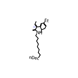 C=C(NCCCCCCCCCCCCCCCCCC)/C(=C/C)C1=CC(CC)=CCC1C